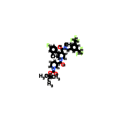 Cc1cc(F)ccc1C1CN(C(=O)C2CCCN(C(=O)OC(C)(C)C)C2)CCC1C(=O)N(C)Cc1cc(C(F)(F)F)cc(C(F)(F)F)c1